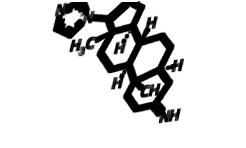 C[C@]12CCC(=N)C[C@@H]1CC[C@@H]1[C@@H]2CC[C@]2(C)C(n3ccnc3)=CC[C@@H]12